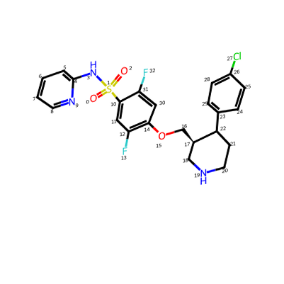 O=S(=O)(Nc1ccccn1)c1cc(F)c(OC[C@@H]2CNCCC2c2ccc(Cl)cc2)cc1F